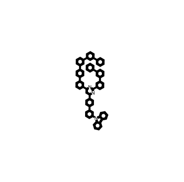 c1ccc(-c2cccc(-c3cccc(-c4ccc(-c5cccc(-c6cc(-c7ccc(-c8cccc(-n9c%10ccccc%10c%10ccccc%109)c8)cc7)nc(-c7cccc(-c8cccc(-c9ccccc9)c8)c7)n6)c5)cc4)c3)c2)cc1